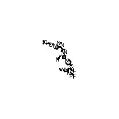 CCNCc1cc(OC2CCN([C@H]3C[C@@](CC#N)(n4cc(-c5ncnc6c5ccn6COCC[Si](C)(C)C)cn4)C3)CC2)nc(C(F)(F)F)n1